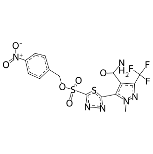 Cn1nc(C(F)(F)F)c(C(N)=O)c1-c1nnc(S(=O)(=O)OCc2ccc([N+](=O)[O-])cc2)s1